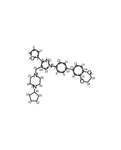 c1coc(-c2nn(-c3ccc(-c4ccc5c(c4)OCCO5)cc3)cc2CN2CCN(C3CCCC3)CC2)c1